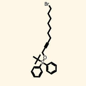 CC(C)(C)[Si](OCC#CCCCCCCCBr)(c1ccccc1)c1ccccc1